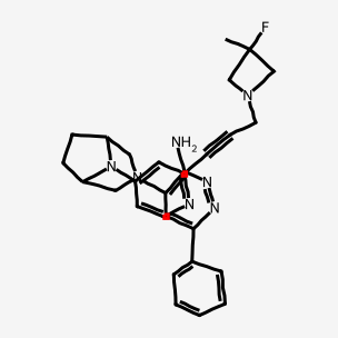 CC1(F)CN(CC#Cc2cc(N3C4CCC3CN(c3cc(-c5ccccc5)nnc3N)C4)ccn2)C1